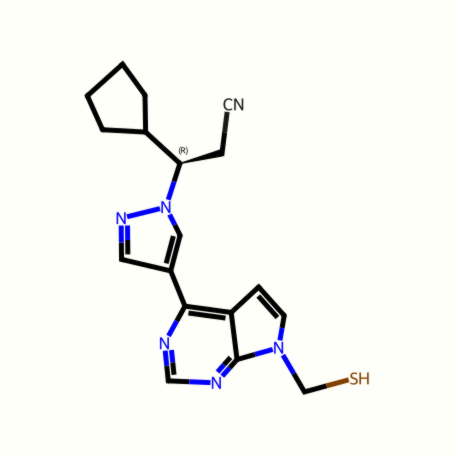 N#CC[C@H](C1CCCC1)n1cc(-c2ncnc3c2ccn3CS)cn1